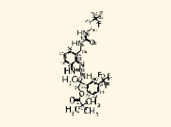 CC(C)(C)C(=O)OCC(C)(Nc1nc2c(CNC(=O)NCCC(F)(F)F)cccc2[nH]1)c1cccc(C(F)(F)F)c1